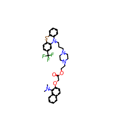 CN(C)c1c(OCC(=O)OCCN2CCN(CCCN3c4ccccc4Sc4ccc(C(F)(F)F)cc43)CC2)ccc2ccccc12